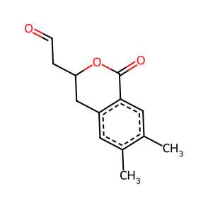 Cc1cc2c(cc1C)C(=O)OC(CC=O)C2